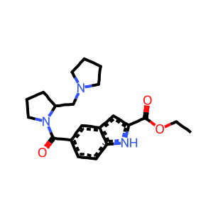 CCOC(=O)c1cc2cc(C(=O)N3CCCC3CN3CCCC3)ccc2[nH]1